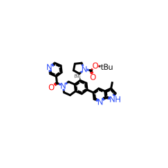 Cc1c[nH]c2ncc(-c3cc4c(c([C@@H]5CCCN5C(=O)OC(C)(C)C)c3)CN(C(=O)c3cccnc3)CC4)cc12